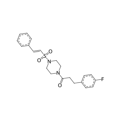 O=C(CCc1ccc(F)cc1)N1CCN(S(=O)(=O)C=Cc2ccccc2)CC1